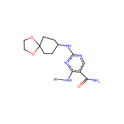 CC(C)Nc1nc(NC2CCC3(CC2)OCCO3)ncc1C(N)=O